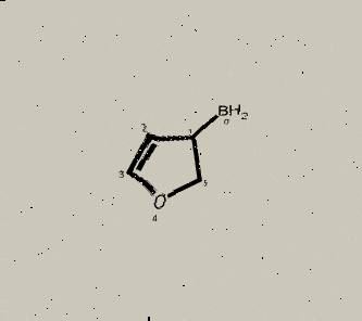 BC1C=COC1